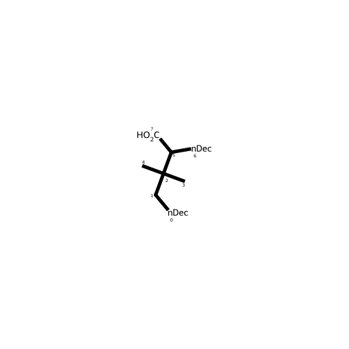 CCCCCCCCCCCC(C)(C)C(CCCCCCCCCC)C(=O)O